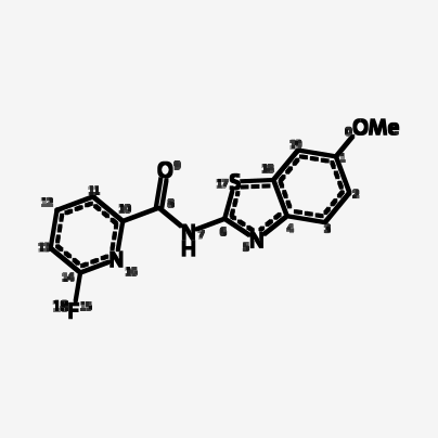 COc1ccc2nc(NC(=O)c3cccc([18F])n3)sc2c1